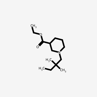 CCOC(=O)C1CCCN(CC(C)(C)CC)C1